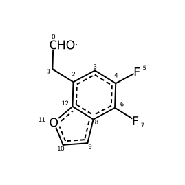 O=[C]Cc1cc(F)c(F)c2ccoc12